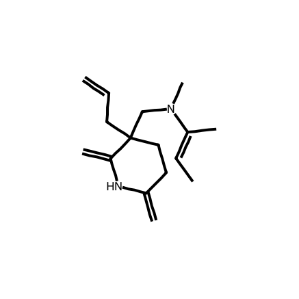 C=CCC1(CN(C)C(C)=CC)CCC(=C)NC1=C